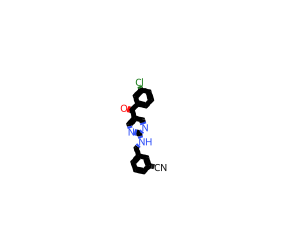 N#Cc1cccc(CNc2ncc(C(=O)c3cccc(Cl)c3)cn2)c1